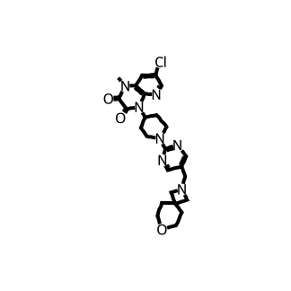 Cn1c(=O)c(=O)n(C2CCN(c3ncc(CN4CC5(CCOCC5)C4)cn3)CC2)c2ncc(Cl)cc21